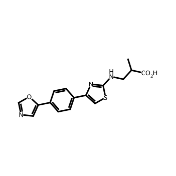 CC(CNc1nc(-c2ccc(-c3cnco3)cc2)cs1)C(=O)O